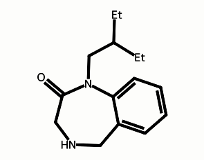 CCC(CC)CN1C(=O)CNCc2ccccc21